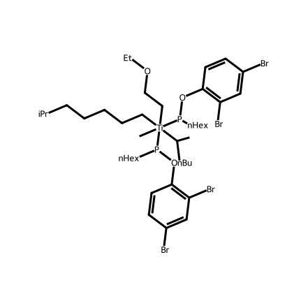 CCCCCC[P](Oc1ccc(Br)cc1Br)[Ti]([CH3])([CH2]CCCCC(C)C)([CH2]COCC)([CH](C)CCCC)[P](CCCCCC)Oc1ccc(Br)cc1Br